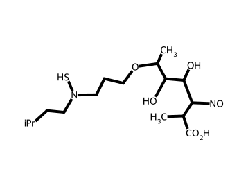 CC(C)CCN(S)CCCOC(C)C(O)C(O)C(N=O)C(C)C(=O)O